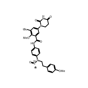 COc1ccc(CCN(c2ccc(NC(=O)c3cc(N4CCC(=O)NC4=O)cc(C(C)(C)C)c3OC)cc2)[SH](=O)=O)cc1